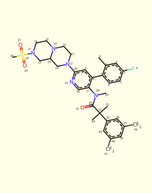 Cc1cc(F)ccc1-c1cc(N2CCN3CCN(S(C)(=O)=O)CC3C2)ncc1N(C)C(=O)C(C)(C)c1cc(C(F)(F)F)cc(C(F)(F)F)c1